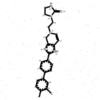 Cc1ccc(-c2ccc(-c3nc4c([nH]3)C=CN(CCN3CCNC3=O)C4)cc2)cc1C